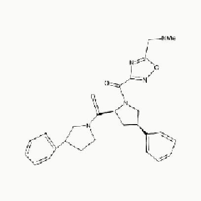 CNCc1nc(C(=O)N2C[C@@H](c3ccccc3)C[C@H]2C(=O)N2CCC(c3ccccc3)C2)no1